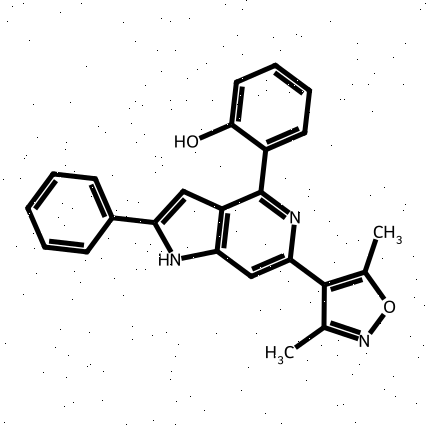 Cc1noc(C)c1-c1cc2[nH]c(-c3ccccc3)cc2c(-c2ccccc2O)n1